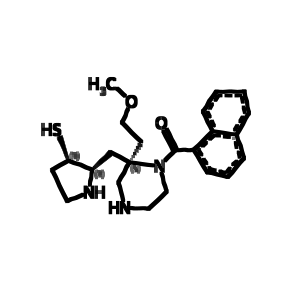 COCC[C@@]1(C[C@H]2NCC[C@H]2S)CNCCN1C(=O)c1cccc2ccccc12